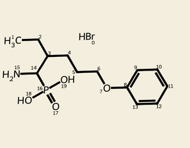 Br.CCC(CCCOc1ccccc1)C(N)P(=O)(O)O